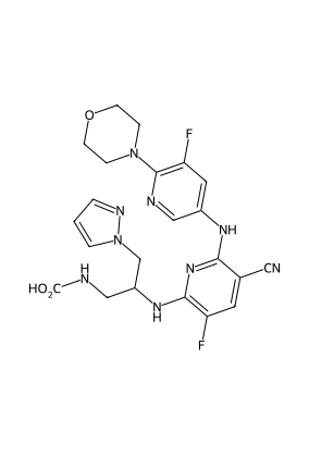 N#Cc1cc(F)c(NC(CNC(=O)O)Cn2cccn2)nc1Nc1cnc(N2CCOCC2)c(F)c1